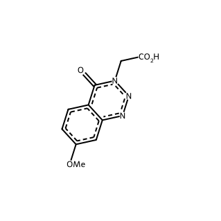 COc1ccc2c(=O)n(CC(=O)O)nnc2c1